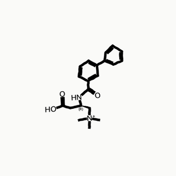 C[N+](C)(C)C[C@@H](CC(=O)O)NC(=O)c1cccc(-c2ccccc2)c1